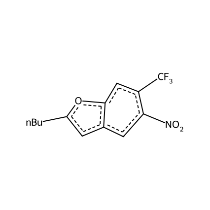 CCCCc1cc2cc([N+](=O)[O-])c(C(F)(F)F)cc2o1